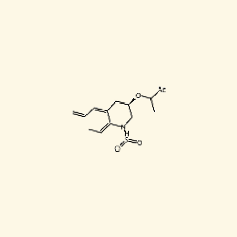 C=C/C=C1/C[C@@H](OC(C)C(C)=O)CN([SH](=O)=O)/C1=C/C